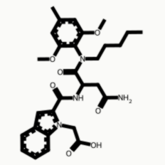 CCCCCN(C(=O)C(CC(N)=O)NC(=O)c1cc2ccccc2n1CC(=O)O)c1c(OC)cc(C)cc1OC